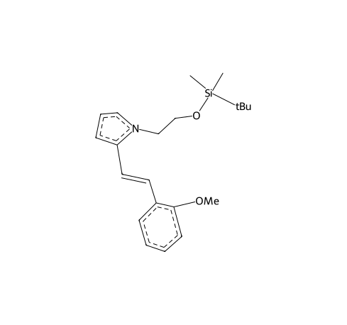 COc1ccccc1/C=C/c1cccn1CCO[Si](C)(C)C(C)(C)C